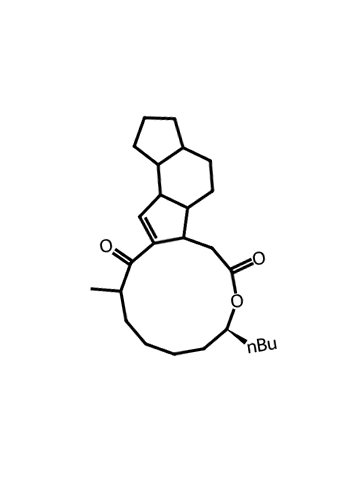 CCCC[C@H]1CCCCC(C)C(=O)C2=CC3C4CCCC4CCC3C2CC(=O)O1